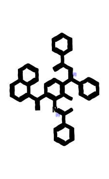 C=C(/C=C(/c1ccccc1)c1ccc(C(=C)c2cccc3ccccc23)c(/N=C(\C)c2ccccc2)c1C)c1ccccc1